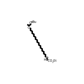 CCOC(=O)POCCCCCCCCCCCCCCCCCCCCOC(C)COC(C)CC